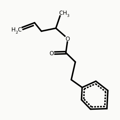 C=CCC(C)OC(=O)CCc1ccccc1